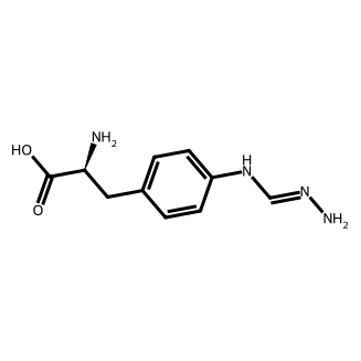 NN=CNc1ccc(C[C@H](N)C(=O)O)cc1